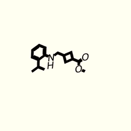 COC(=O)C1CC(CNc2ccccc2C(C)C)C1